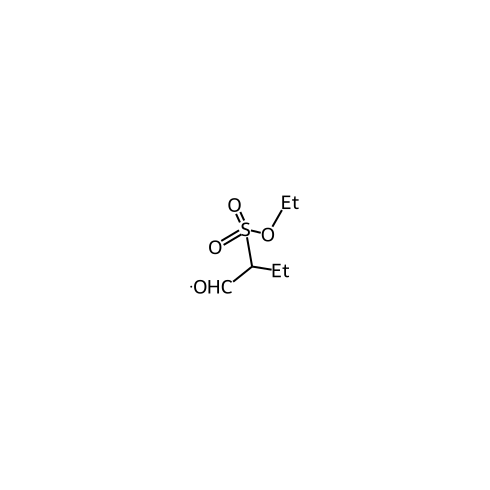 CCOS(=O)(=O)C([C]=O)CC